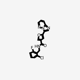 O=C(NCc1c(F)cccc1Cl)c1coc(-c2cnc3cccnn23)c1